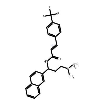 CN(C)CCC(NC(=O)/C=C/c1ccc(C(F)(F)F)cc1)c1ccc2ccccc2c1.Cl